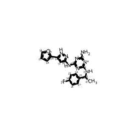 CC(Nc1nc(N)nc(Nc2cc(-c3ccco3)[nH]n2)n1)c1ccc(F)cc1